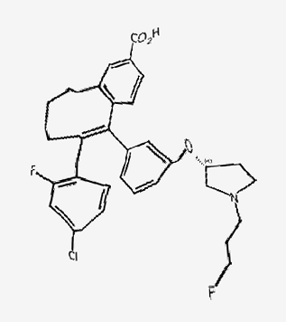 O=C(O)c1ccc2c(c1)CCCC(c1ccc(Cl)cc1F)=C2c1cccc(O[C@@H]2CCN(CCCF)C2)c1